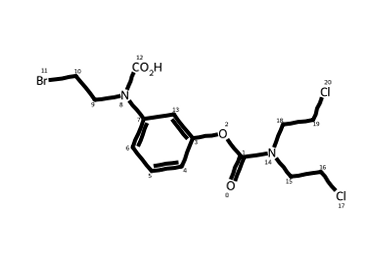 O=C(Oc1cccc(N(CCBr)C(=O)O)c1)N(CCCl)CCCl